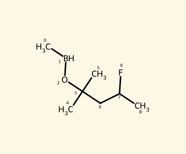 CBOC(C)(C)CC(C)F